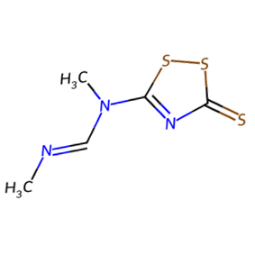 CN=CN(C)c1nc(=S)ss1